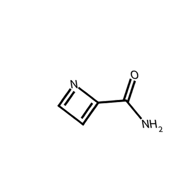 NC(=O)C1=CC=N1